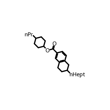 CCCCCCCC1CCc2cc(C(=O)OC3CCC(CCC)CC3)ccc2C1